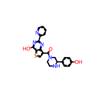 O=C(c1csc2c(O)nc(-c3ccccn3)nc12)N1CCNC(c2ccc(O)cc2)C1